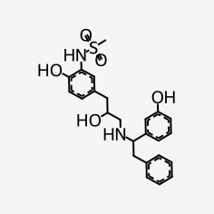 CS(=O)(=O)Nc1cc(CC(O)CNC(Cc2ccccc2)c2cccc(O)c2)ccc1O